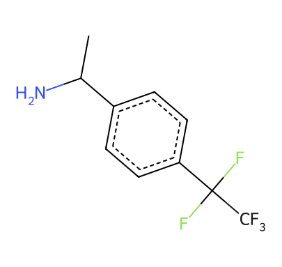 CC(N)c1ccc(C(F)(F)C(F)(F)F)cc1